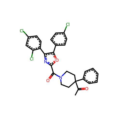 CC(=O)C1(c2ccccc2)CCN(C(=O)c2nc(-c3ccc(Cl)cc3Cl)c(-c3ccc(Cl)cc3)o2)CC1